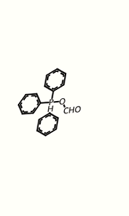 O=CO[PH](c1ccccc1)(c1ccccc1)c1ccccc1